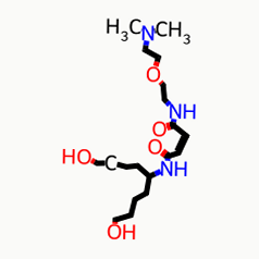 CN(C)CCOCCNC(=O)/C=C\C(=O)NC(CCCCO)CCCCO